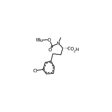 CN(C(=O)OC(C)(C)C)[C@@H](CCc1cccc(Cl)c1)C(=O)O